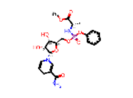 CC(C)OC(=O)[C@H](C)NP(=O)(OC[C@H]1O[C@H](N2C=CCC(C(N)=O)=C2)[C@H](O)[C@@H]1O)Oc1ccccc1